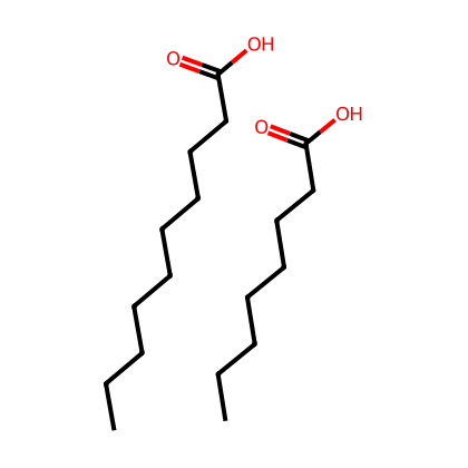 CCCCCCCC(=O)O.CCCCCCCCCC(=O)O